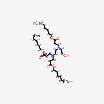 CCCCCCCCCCCCCCCOC(=O)CCN(CCO)CCN(CCC(=O)OCCCCCCCCCCCCCCC)CCC(=O)OCCCCCCCCCCCCCCC